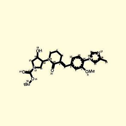 COc1cc(C=C2CCCN(C3CN(C(=O)OC(C)(C)C)CC3O)C2=O)ccc1-n1cnc(C)c1